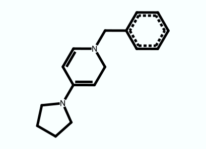 C1=CN(Cc2ccccc2)CC=C1N1CCCC1